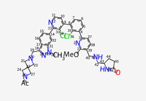 COc1nc(-c2cccc(-c3ccnc(-c4ccc5c(CN6CC7(C6)CN(C(C)=O)C7)nn(C)c5c4)c3Cl)c2Cl)ccc1CNCC1CCC(=O)N1